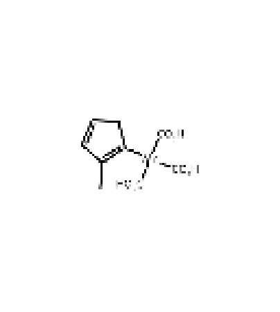 CC1=[C]([Mn]([C](=O)O)([C](=O)O)[C](=O)O)CC=C1